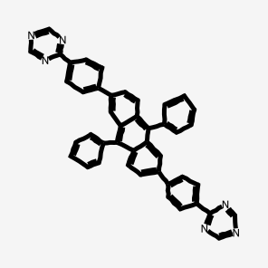 c1ccc(-c2c3ccc(-c4ccc(-c5ncncn5)cc4)cc3c(-c3ccccc3)c3ccc(-c4ccc(-c5ncncn5)cc4)cc23)cc1